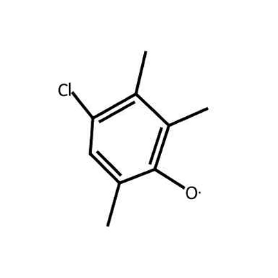 Cc1cc(Cl)c(C)c(C)c1[O]